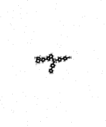 C[C@@H]1C[C@@H]2C[C@H](C)CC(c3ccc(-c4ccc5c(-c6nc(-c7ccc(-c8ccccc8)cc7)nc(-c7ccc(-c8ccc(C#N)cc8)cc7)n6)cccc5c4)cc3)(C1)C2